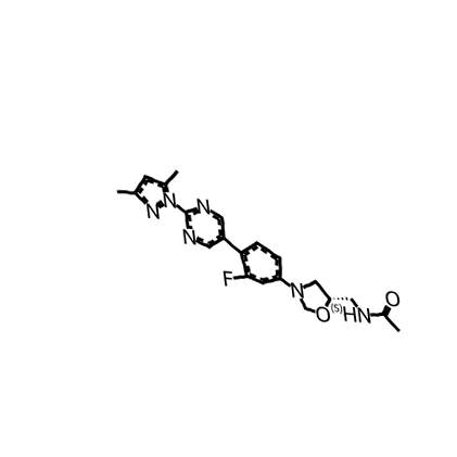 CC(=O)NC[C@H]1CN(c2ccc(-c3cnc(-n4nc(C)cc4C)nc3)c(F)c2)CO1